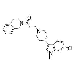 O=C(CCN1CCC(c2c[nH]c3cc(Cl)ccc23)CC1)N1CCc2ccccc2C1